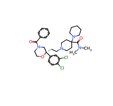 CN(C)C(=O)C1(N2CCCCC2)CCN(CC[C@@]2(c3ccc(Cl)c(Cl)c3)CN(C(=O)c3ccccc3)CCO2)CC1